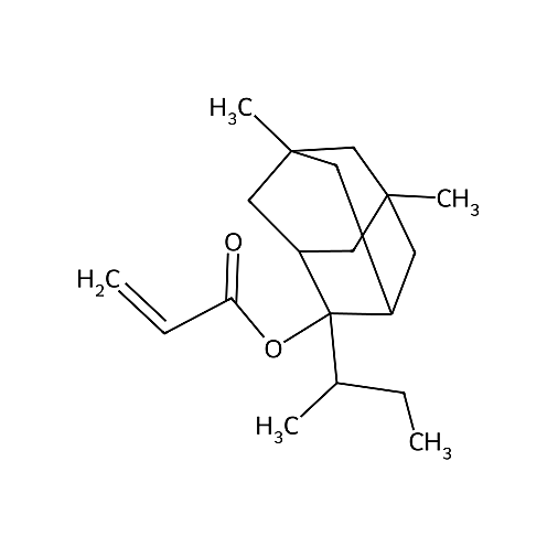 C=CC(=O)OC1(C(C)CC)C2CC3(C)CC1CC(C)(C2)C3